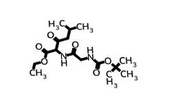 CCOC(=O)C(NC(=O)CNC(=O)OC(C)(C)C)C(=O)CC(C)C